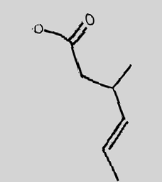 C/C=C/C(C)CC([O])=O